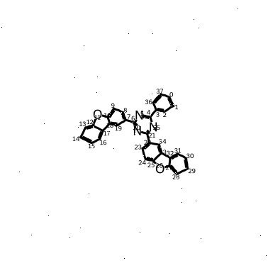 c1ccc(-c2nc(-c3ccc4oc5ccccc5c4c3)nc(-c3ccc4oc5ccccc5c4c3)n2)cc1